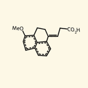 COc1ccc2cccc3c2c1CCC3=CCC(=O)O